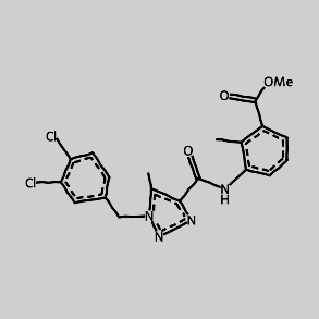 COC(=O)c1cccc(NC(=O)c2nnn(Cc3ccc(Cl)c(Cl)c3)c2C)c1C